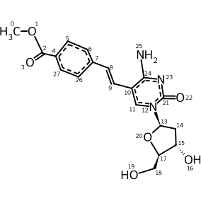 COC(=O)c1ccc(/C=C/c2cn([C@H]3C[C@H](O)[C@@H](CO)O3)c(=O)nc2N)cc1